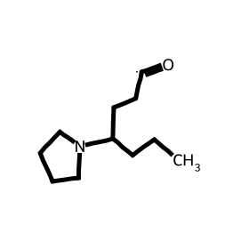 CCCC(CC[C]=O)N1CCCC1